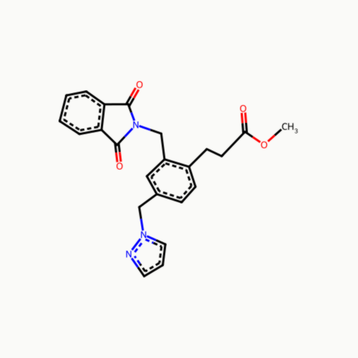 COC(=O)CCc1ccc(Cn2cccn2)cc1CN1C(=O)c2ccccc2C1=O